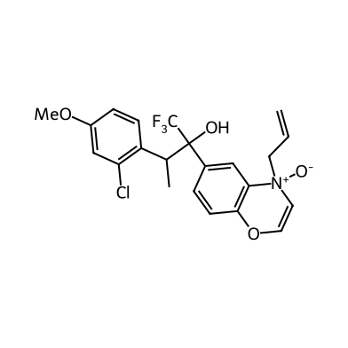 C=CC[N+]1([O-])C=COc2ccc(C(O)(C(C)c3ccc(OC)cc3Cl)C(F)(F)F)cc21